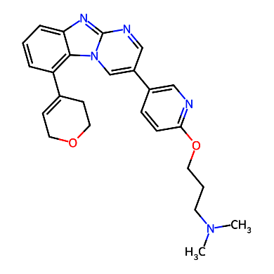 CN(C)CCCOc1ccc(-c2cnc3nc4cccc(C5=CCOCC5)c4n3c2)cn1